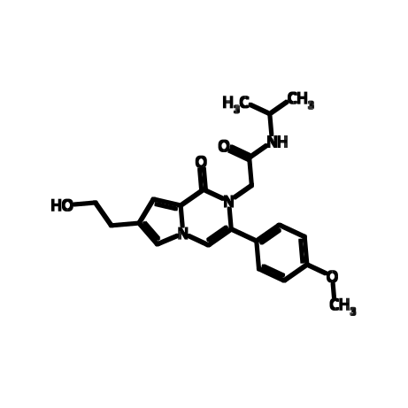 COc1ccc(-c2cn3cc(CCO)cc3c(=O)n2CC(=O)NC(C)C)cc1